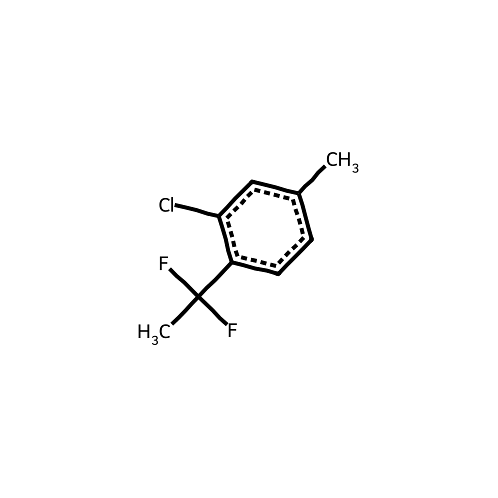 Cc1ccc(C(C)(F)F)c(Cl)c1